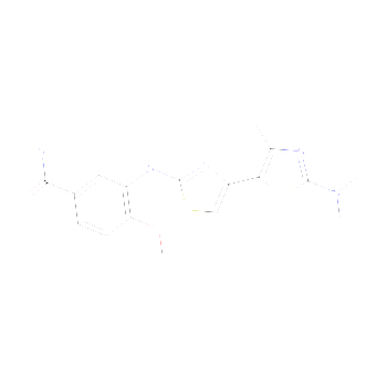 CCN(CC)c1nc(C)c(-c2csc(Nc3cc(C(N)=O)ccc3OC(C)C)n2)s1